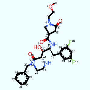 COCCN1CC(C(=O)N[C@@H](Cc2cc(F)cc(F)c2)[C@H](O)[C@@H]2NCCN(Cc3ccccc3)C2=O)CC1=O